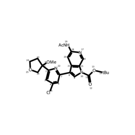 COC1(c2cc(Cl)cc(-c3cn(C(=O)OC(C)(C)C)c4cnc(NC(C)=O)cc34)n2)CCOC1